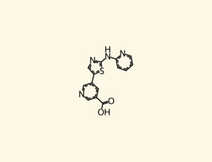 O=C(O)c1cncc(-c2cnc(Nc3ccccn3)s2)c1